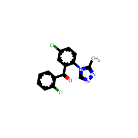 Cc1nncn1-c1ccc(Cl)cc1C(=O)c1ccccc1Cl